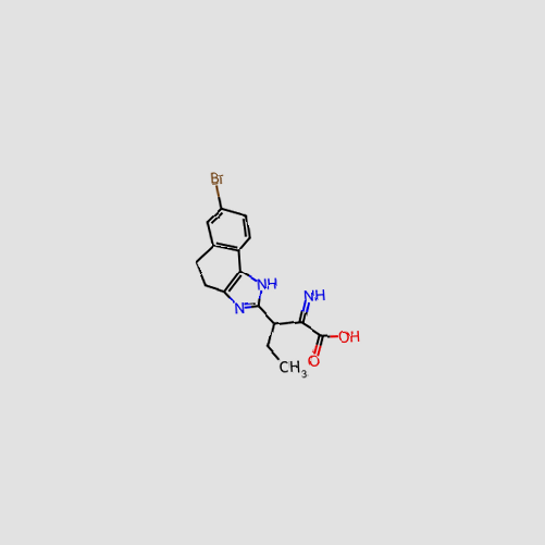 CCC(C(=N)C(=O)O)c1nc2c([nH]1)-c1ccc(Br)cc1CC2